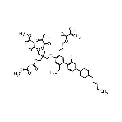 C=C(C)C(=O)OCCCc1cc(-c2ccc(C3CCC(CCCCC)CC3)cc2F)c(CC)cc1OCC(COC(=O)CC(=O)OC)(COC(=O)CC(=O)OC)COC(=O)C(C)=O